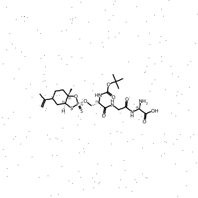 C=C(C)C1CC[C@]2(C)O[P@](=S)(OC[C@H](NC(=O)OC(C)(C)C)C(=O)NCC(=O)N[C@@H](N)C(=O)O)S[C@H]2C1